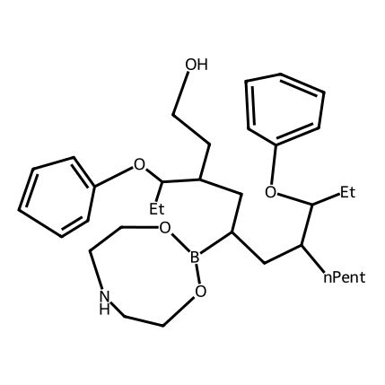 CCCCCC(CC(CC(CCO)C(CC)Oc1ccccc1)B1OCCNCCO1)C(CC)Oc1ccccc1